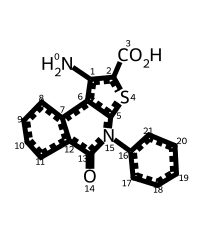 Nc1c(C(=O)O)sc2c1c1ccccc1c(=O)n2-c1ccccc1